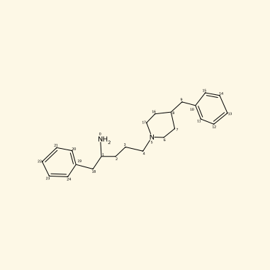 NC(CCCN1CCC(Cc2ccccc2)CC1)Cc1ccccc1